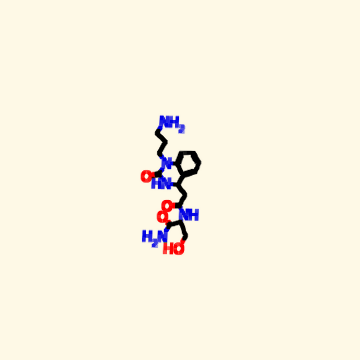 NCCCN1C(=O)NC(CC(=O)NC(CO)C(N)=O)c2ccccc21